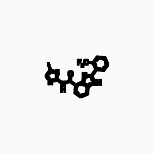 Cc1cnc(NC(=O)c2cccc3[nH]c(-c4ccccc4C(F)(F)F)nc23)s1